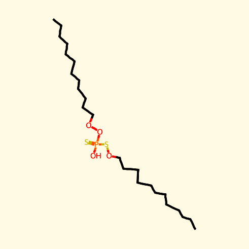 CCCCCCCCCCCCOOP(O)(=S)SOCCCCCCCCCCCC